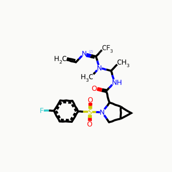 C=C/N=C(\N(C)C(C)NC(=O)C1C2CC2CN1S(=O)(=O)c1ccc(F)cc1)C(F)(F)F